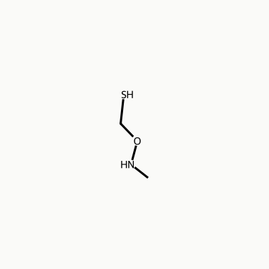 CNOCS